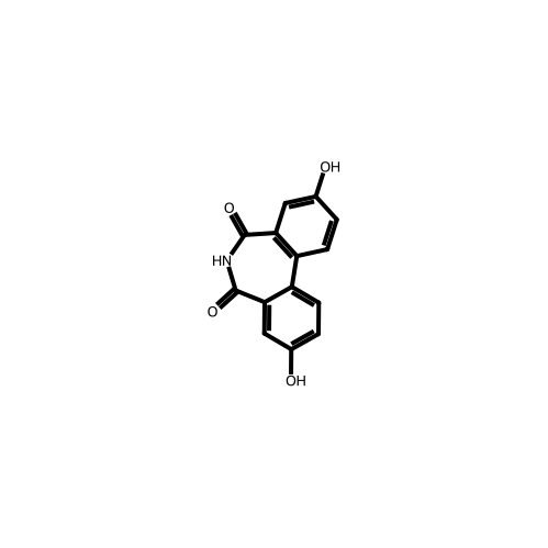 O=c1[nH]c(=O)c2cc(O)ccc2c2ccc(O)cc12